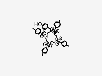 Cc1ccc(S(=O)(=O)N2CCN(S(=O)(=O)c3ccc(C)cc3)CCN(S(=O)(=O)c3ccc(C)cc3)C(Cc3ccc(O)cc3)CN(S(=O)(=O)c3ccc(C)cc3)CC2)cc1